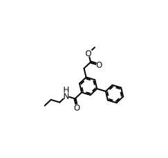 CCCNC(=O)c1cc(CC(=O)OC)cc(-c2ccccc2)c1